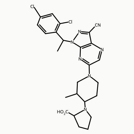 CC1CN(c2cnc3c(C#N)nn(C(C)c4ccc(Cl)cc4Cl)c3n2)CCC1N1CCCC1C(=O)O